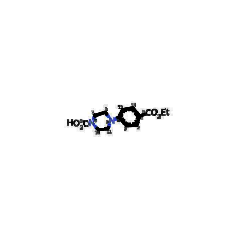 CCOC(=O)c1ccc(N2CCN(C(=O)O)CC2)cc1